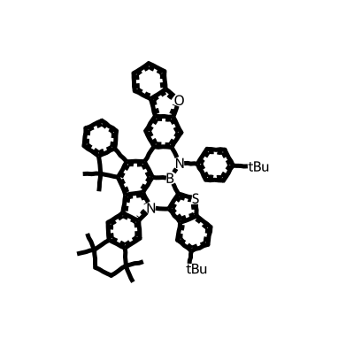 CC(C)(C)c1ccc(N2B3c4sc5ccc(C(C)(C)C)cc5c4-n4c5cc6c(cc5c5c7c(c(c3c54)-c3cc4c(cc32)oc2ccccc24)-c2ccccc2C7(C)C)C(C)(C)CCC6(C)C)cc1